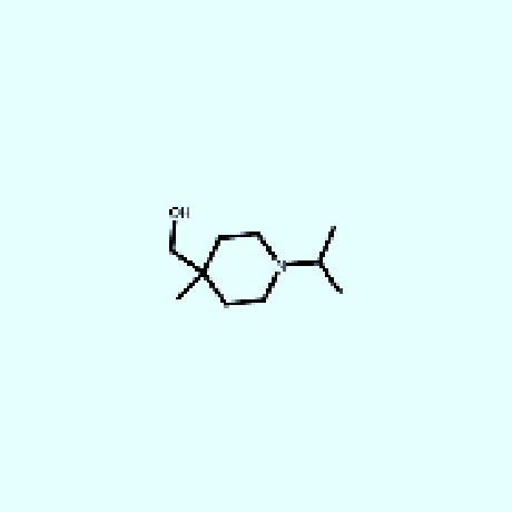 CC(C)N1CCC(C)(CO)CC1